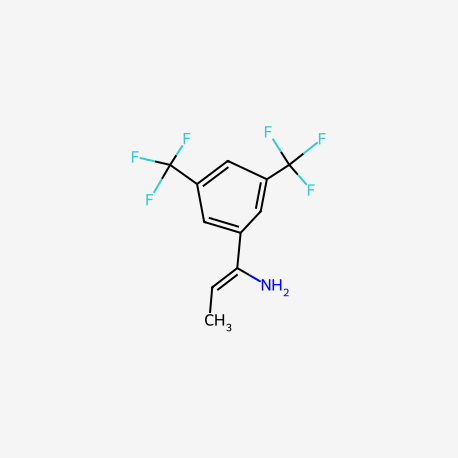 CC=C(N)c1cc(C(F)(F)F)cc(C(F)(F)F)c1